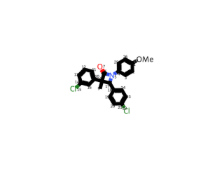 COc1ccc(N2C(=O)C(C)(c3cccc(Cl)c3)C2c2ccc(Cl)cc2)cc1